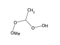 COOC(C)OO